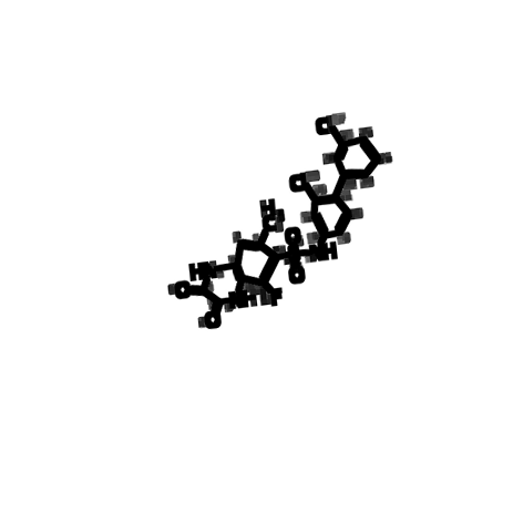 Cc1cc2[nH]c(=O)c(=O)[nH]c2c(F)c1S(=O)(=O)Nc1ccc(-c2cccc(Cl)c2)c(Cl)c1